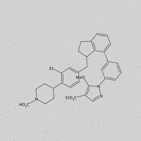 CCOC(=O)c1cnn(-c2cccc(-c3cccc4c3C(Cc3ccc(C5CCN(C(=O)O)CC5)c(CC)c3)CC4)c2)c1OC